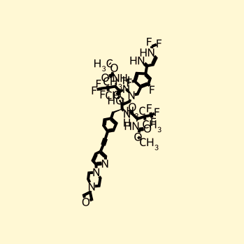 COC(=O)N[C@H](C(=O)N[C@@H](Cc1ccc(C#Cc2ccc(N3CCN(C4COC4)CC3)nc2)cc1)[C@@H](O)CN(Cc1c(F)cc(C(=N)/C=C\NC(F)F)cc1F)NC(=O)[C@@H](NC(=O)OC)C(C)(C)C(F)(F)F)C(C)(C)C(F)(F)F